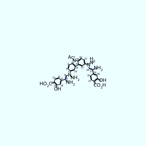 CC(=O)n1c2ccc(N(N)/C=C(\N)c3ccc(C(=O)O)c(O)c3)cc2c2cc(N(N)/C=C(\N)c3ccc(C(=O)O)c(O)c3)ccc21